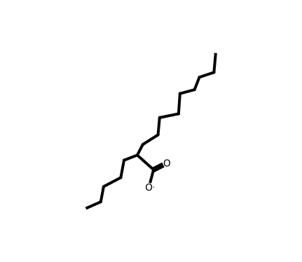 CCCCCCCCCC(CCCCC)C([O])=O